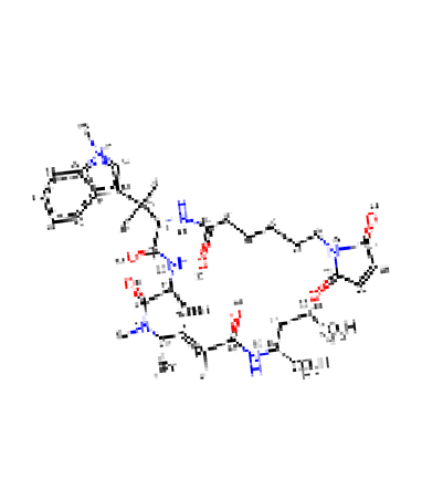 C/C(=C\[C@H](C(C)C)N(C)C(=O)[C@@H](NC(=O)[C@@H](NC(=O)CCCCCN1C(=O)C=CC1=O)C(C)(C)c1cn(C)c2ccccc12)C(C)(C)C)C(=O)N[C@H](CCC(=O)O)C(=O)O